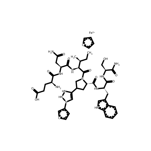 CC[C@H](C)[C@H](NC(=O)[C@H](CC(N)=O)NC(=O)[C@@H](N)CCC(=O)O)C(=O)N1CC(C2=CN(c3cc[cH-]c3)NN2)C[C@H]1C(=O)N[C@@H](Cc1c[nH]c2ccccc12)C(=O)N[C@@H](CO)C(N)=O.[Fe+2].c1cc[cH-]c1